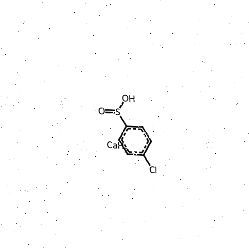 O=S(O)c1ccc(Cl)cc1.[CaH2]